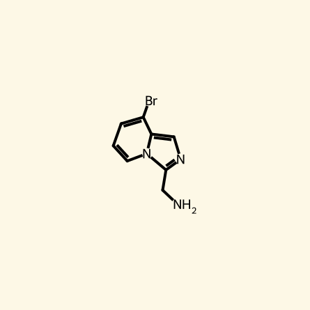 NCc1ncc2c(Br)cccn12